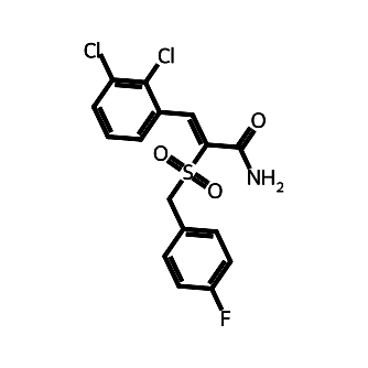 NC(=O)C(=Cc1cccc(Cl)c1Cl)S(=O)(=O)Cc1ccc(F)cc1